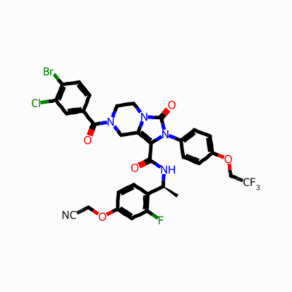 C[C@H](NC(=O)c1c2n(c(=O)n1-c1ccc(OCC(F)(F)F)cc1)CCN(C(=O)c1ccc(Br)c(Cl)c1)C2)c1ccc(OCC#N)cc1F